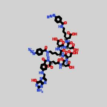 [N-]=[N+]=Nc1ccc(C(=O)NCCCC[C@@H](CC(=O)O)NC(=O)[C@H](CC(=O)O)NC(=O)[C@H](CC(=O)O)NC(=O)[C@H](CCCCNC(=O)c2ccc(N=[N+]=[N-])cc2)NC(=O)[C@@H](CC(=O)O)NC(=O)[C@@H](CC(=O)O)NC(=O)CC[C@H](NC(=O)c2ccc(NCc3cnc4nc(N)nc(O)c4n3)cc2)C(=O)O)cc1